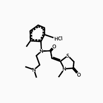 Cc1cccc(C)c1N(CCN(C)C)C(=O)/C=C1\SCC(=O)N1C.Cl